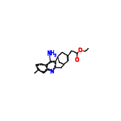 CCOC(=O)CC1=CC2Cc3nc4cc(C)ccc4c(N)c3C(C1)C2